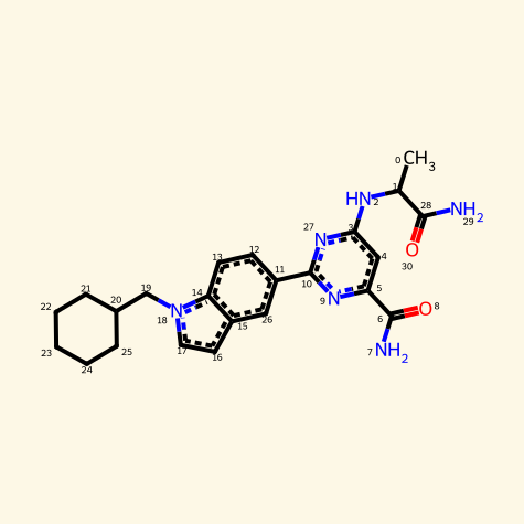 CC(Nc1cc(C(N)=O)nc(-c2ccc3c(ccn3CC3CCCCC3)c2)n1)C(N)=O